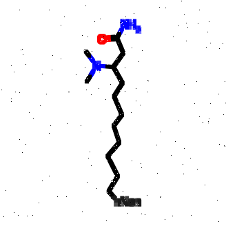 CCCCCCCCCCCCCCCCCC(CC(N)=O)N(C)C